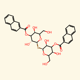 O=C(OC1[C@@H](O)C(CO)O[C@@H](S[C@@H]2OC(CO)[C@H](O)C(OC(=O)c3ccc4ccccc4c3)[C@@H]2O)[C@@H]1O)c1ccc2ccccc2c1